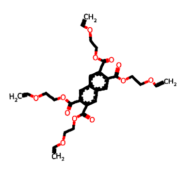 C=COCCOC(=O)c1cc2cc(C(=O)OCCOC=C)c(C(=O)OCCOC=C)cc2cc1C(=O)OCCOC=C